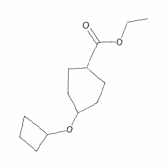 CCOC(=O)C1CCC(OC2CCC2)CC1